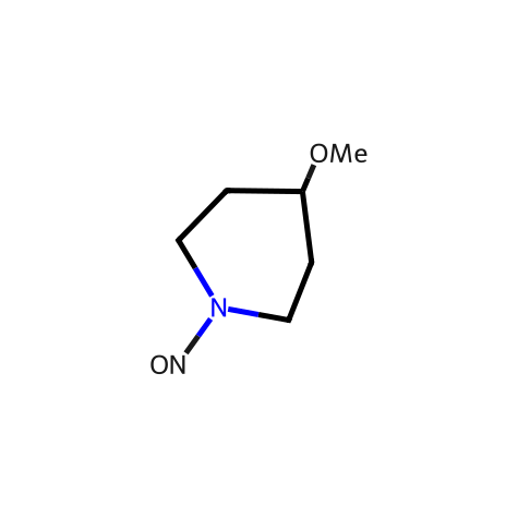 COC1CCN(N=O)CC1